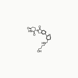 O=C1CCC(N2Cc3cc(-c4cc(CNCCCCO)ccn4)ccc3C2=O)C(=O)N1